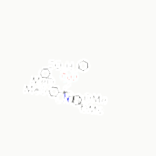 COc1ccc(C[C@]2(CCC(=O)OCc3ccccc3)c3cc(OC)c(OC)cc3CCN2C)cc1OC.O=S(=O)(O)c1ccccc1